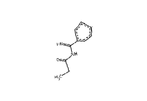 CCC(=O)NC(=N)c1cc[c]cc1